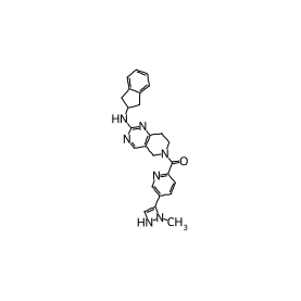 Cn1[nH]cc1-c1ccc(C(=O)N2CCc3nc(NC4Cc5ccccc5C4)ncc3C2)nc1